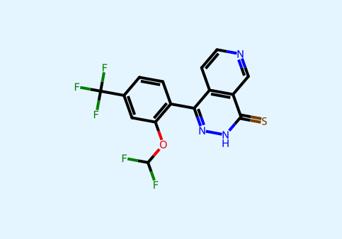 FC(F)Oc1cc(C(F)(F)F)ccc1-c1n[nH]c(=S)c2cnccc12